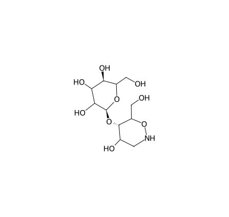 OCC1O[C@@H](O[C@H]2C(O)CNOC2CO)C(O)C(O)[C@H]1O